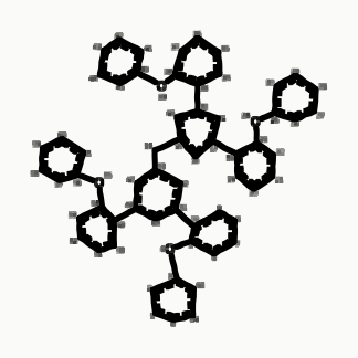 c1ccc(Oc2ccccc2-c2cc(Cc3cc(-c4ccccc4Oc4ccccc4)cc(-c4ccccc4Oc4ccccc4)c3)cc(-c3ccccc3Oc3ccccc3)c2)cc1